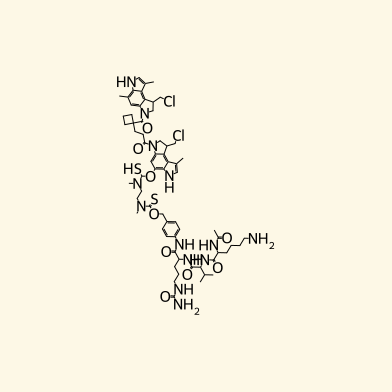 CC(=O)NC(CCCCN)C(=O)NC(C(=O)NC(CCCNC(N)=O)C(=O)Nc1ccc(COC(=S)N(C)CCN(C)C(S)Oc2cc3c(c4c(C)c[nH]c24)C(CCl)CN3C(=O)CCC2(C(=O)N3CC(CCl)c4c3cc(C)c3[nH]cc(C)c43)CCC2)cc1)C(C)C